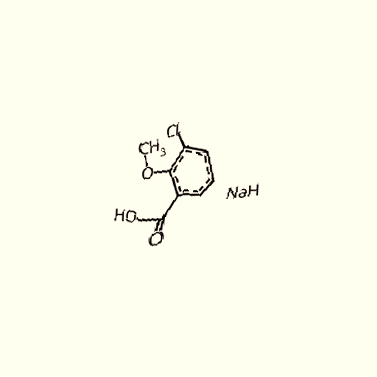 COc1c(Cl)cccc1C(=O)O.[NaH]